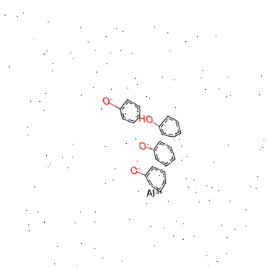 Oc1ccccc1.[Al+3].[O-]c1ccccc1.[O-]c1ccccc1.[O-]c1ccccc1